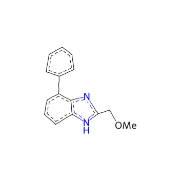 COCc1nc2c(-c3ccccc3)cccc2[nH]1